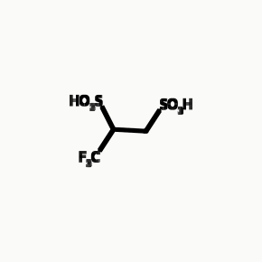 O=S(=O)(O)CC(C(F)(F)F)S(=O)(=O)O